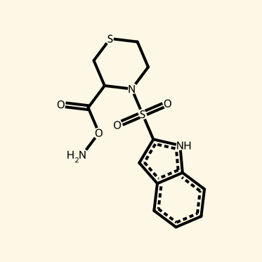 NOC(=O)C1CSCCN1S(=O)(=O)c1cc2ccccc2[nH]1